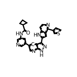 O=C(Nc1cncc(-c2cnc3[nH]nc(-c4cc5c(-c6ccsc6)nccc5[nH]4)c3c2)c1)C1CCC1